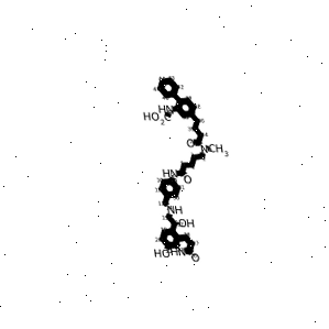 CN(CCCCC(=O)Nc1ccc(CNC[C@H](O)c2ccc(O)c3[nH]c(=O)ccc23)cc1)C(=O)CCCc1ccc(-c2ccccc2)c(NC(=O)O)c1